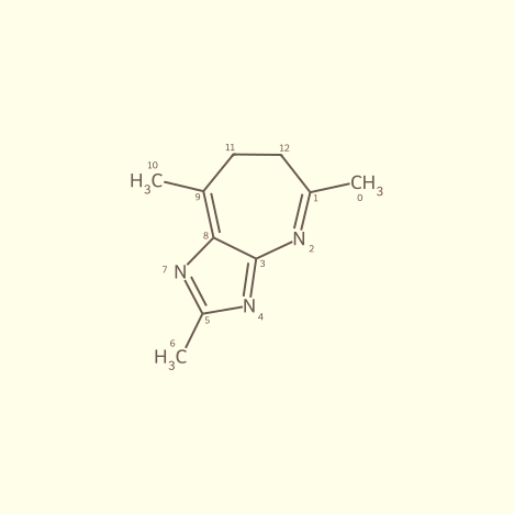 CC1=NC2=NC(C)=NC2=C(C)CC1